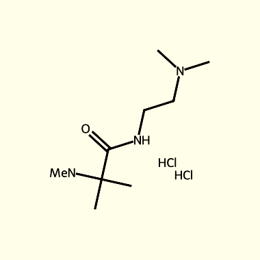 CNC(C)(C)C(=O)NCCN(C)C.Cl.Cl